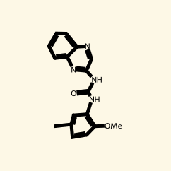 COc1ccc(C)cc1NC(=O)Nc1cnc2ccccc2n1